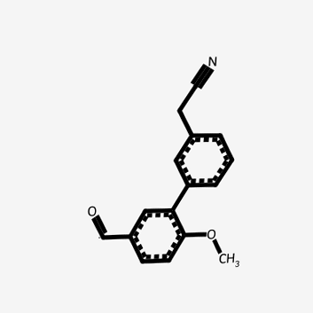 COc1ccc([C]=O)cc1-c1cccc(CC#N)c1